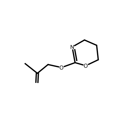 C=C(C)COC1=NCCCO1